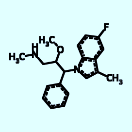 CNCC(OC)C(c1ccccc1)n1cc(C)c2cc(F)ccc21